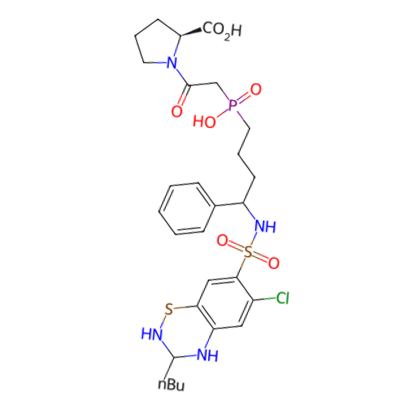 CCCCC1NSc2cc(S(=O)(=O)NC(CCCP(=O)(O)CC(=O)N3CCC[C@H]3C(=O)O)c3ccccc3)c(Cl)cc2N1